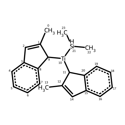 CC1=Cc2ccccc2[CH]1[Ti]([CH]1C(C)=Cc2ccccc21)[SiH](C)C